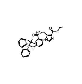 CCOC(=O)c1ncn2c1CNC(=O)c1cc(O[Si](c3ccccc3)(c3ccccc3)C(C)(C)C)ccc1-2